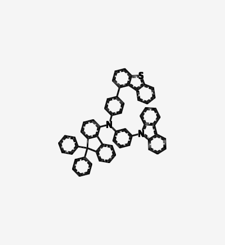 c1ccc(C2(c3ccccc3)c3ccccc3-c3c(N(c4ccc(-c5cccc6sc7ccccc7c56)cc4)c4cccc(-n5c6ccccc6c6ccccc65)c4)cccc32)cc1